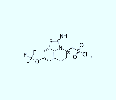 CS(=O)(=O)C[C@H]1CCc2cc(OC(F)(F)F)cc3sc(=N)n1c23